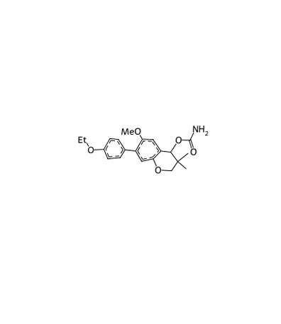 CCOc1ccc(-c2cc3c(cc2OC)C(OC(N)=O)C(C)(C)CO3)cc1